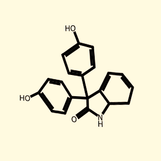 O=C1NC2CC=CC=C2C1(c1ccc(O)cc1)c1ccc(O)cc1